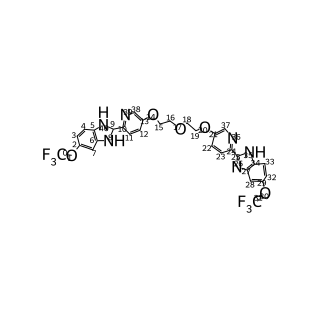 FC(F)(F)Oc1ccc2c(c1)NC(c1ccc(OCCOCCOc3ccc(-c4nc5cc(OC(F)(F)F)ccc5[nH]4)nc3)cn1)N2